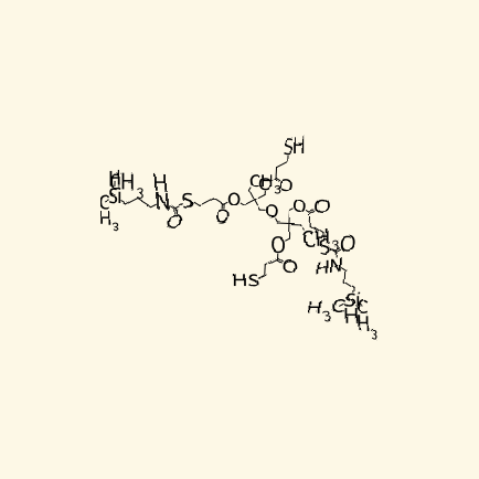 CCC(COCC(CC)(COC(=O)CCS)COC(=O)CCSC(=O)NCCC[SiH](C)C)(COC(=O)CCS)COC(=O)CCSC(=O)NCCC[SiH](C)C